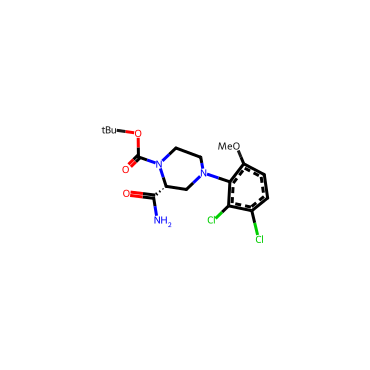 COc1ccc(Cl)c(Cl)c1N1CCN(C(=O)OC(C)(C)C)[C@@H](C(N)=O)C1